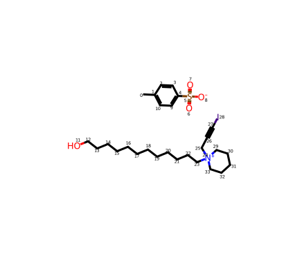 Cc1ccc(S(=O)(=O)[O-])cc1.OCCCCCCCCCCCC[N+]1(CC#CI)CCCCC1